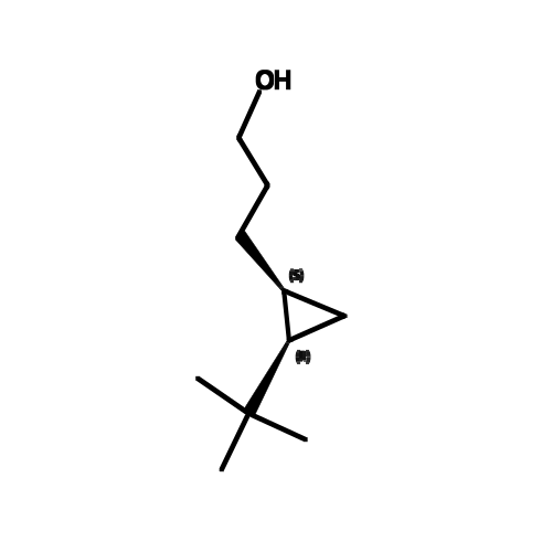 CC(C)(C)[C@@H]1C[C@@H]1CCCO